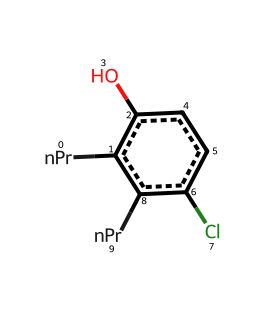 CCCc1c(O)ccc(Cl)c1CCC